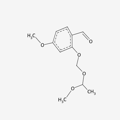 COc1ccc(C=O)c(OCOC(C)OC)c1